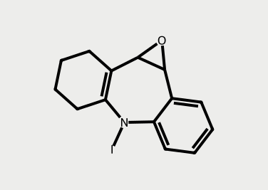 IN1C2=C(CCCC2)C2OC2c2ccccc21